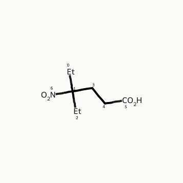 CCC(CC)(CCC(=O)O)[N+](=O)[O-]